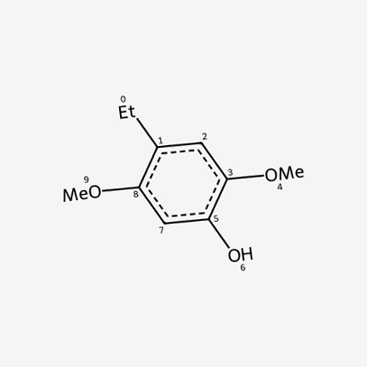 CCc1cc(OC)c(O)cc1OC